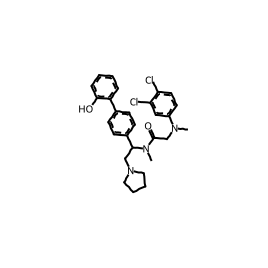 CN(CC(=O)N(C)C(CN1CCCC1)c1ccc(-c2ccccc2O)cc1)c1ccc(Cl)c(Cl)c1